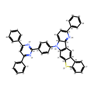 c1ccc(-c2cc(-c3ccccc3)nc(-c3ccc(-n4c5cc6sc7ccccc7c6cc5c5nc(-c6ccccc6)ccc54)cc3)n2)cc1